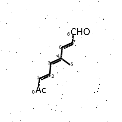 CC(=O)/C=C/C=C(C)/C=C/C=O